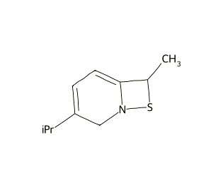 CC(C)C1=CC=C2C(C)SN2C1